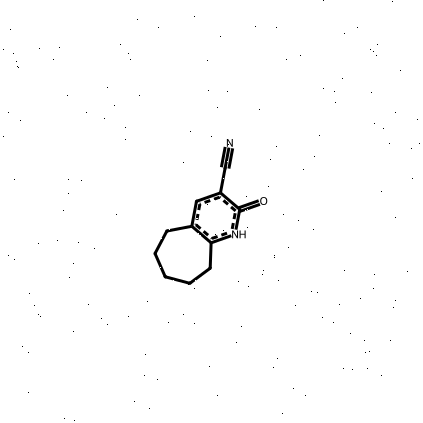 N#Cc1cc2c([nH]c1=O)CCCCC2